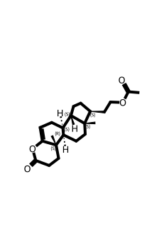 CC(=O)OCC[C@@H]1CC[C@H]2[C@@H]3CC=C4OC(=O)CC[C@@]4(C)[C@@H]3CC[C@@]12C